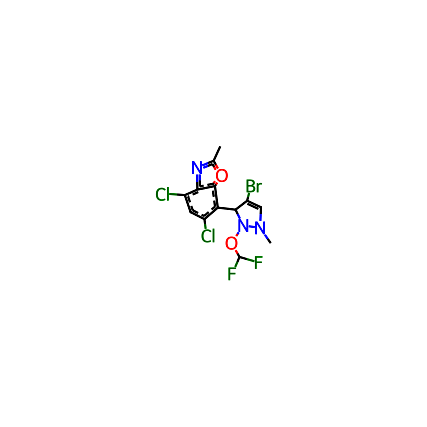 Cc1nc2c(Cl)cc(Cl)c(C3C(Br)=CN(C)N3OC(F)F)c2o1